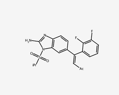 CC(=O)C=C(c1ccc2nc(N)n(S(=O)(=O)C(C)C)c2c1)c1cccc(F)c1F